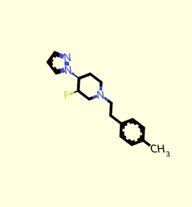 Cc1ccc(CCN2CC[C@H](n3cccn3)[C@H](F)C2)cc1